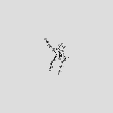 C#CC#CC#CN(C)CN(C)P(c1ccccc1)N(C#CC#CC#C)C#CC#CC#C